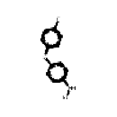 CCNc1ccc(Sc2ccc(F)cc2)cc1